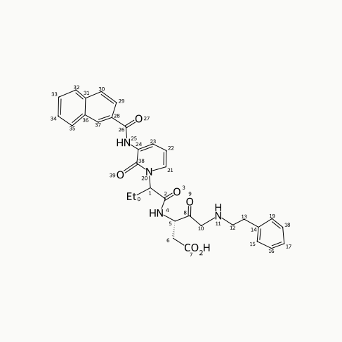 CCC(C(=O)N[C@@H](CC(=O)O)C(=O)CNCCc1ccccc1)n1cccc(NC(=O)c2ccc3ccccc3c2)c1=O